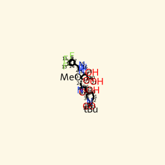 CO[C@@H]1[C@@H](n2cc(-c3cc(F)c(F)c(F)c3)nn2)[C@@H](O)[C@@H](CO)O[C@@H]1Cc1cc([C@@]2(O)CCCN(C(=O)OC(C)(C)C)CC2)on1